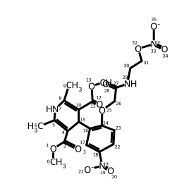 COC(=O)C1=C(C)NC(C)=C(C(=O)OC)C1c1cc([N+](=O)[O-])ccc1OCC(=O)NCCO[N+](=O)[O-]